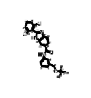 O=C(Nc1cccc(COC(F)(F)F)c1)c1ccc2nc(-c3c(Cl)cccc3Cl)[nH]c2c1